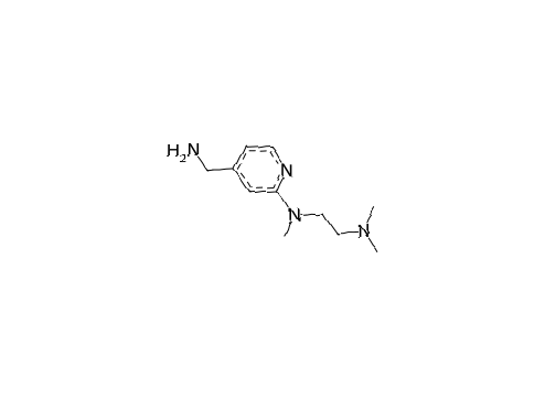 CN(C)CCN(C)c1cc(CN)ccn1